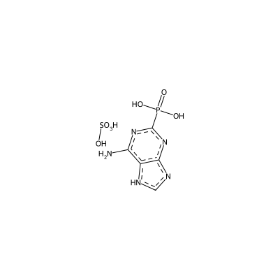 Nc1nc(P(=O)(O)O)nc2nc[nH]c12.O=S(=O)(O)O